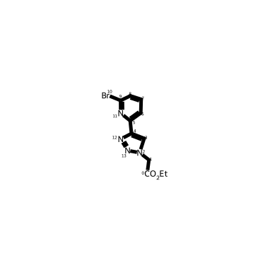 CCOC(=O)Cn1cc(-c2cccc(Br)n2)nn1